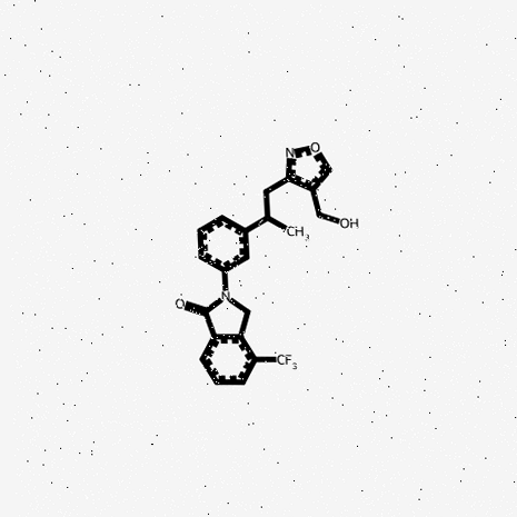 CC(Cc1nocc1CO)c1cccc(N2Cc3c(cccc3C(F)(F)F)C2=O)c1